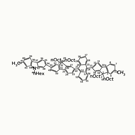 CCCCCCCCC1(CCCCCCCC)c2cc(C)ccc2-c2ccc(-c3c4ccccc4c(-c4ccc5c(c4)C(CCCCCCCC)(CCCCCCCC)c4cc(-c6ccc7c8ccc(C)cc8n(CCCCCC)c7c6)ccc4-5)c4ccccc34)cc21